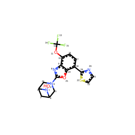 ON1C2CC1CN(c1nc3c(OC(F)(F)F)ccc(-c4nccs4)c3o1)C2